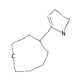 C1=C(C2CCCCCCC2)[N]CC1